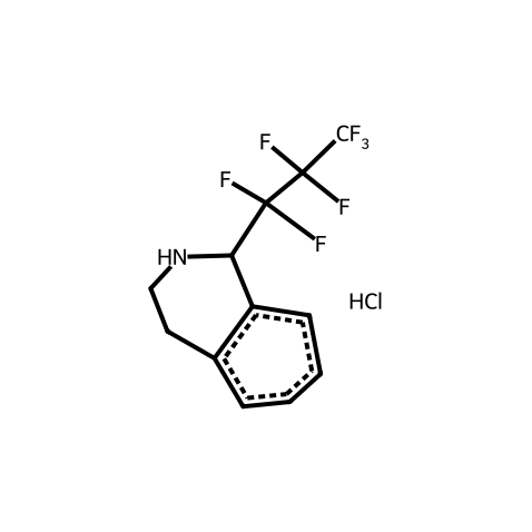 Cl.FC(F)(F)C(F)(F)C(F)(F)C1NCCc2ccccc21